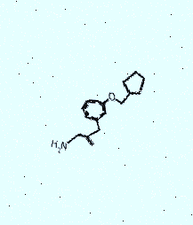 CC(CN)Cc1cccc(OCC2CCCC2)c1